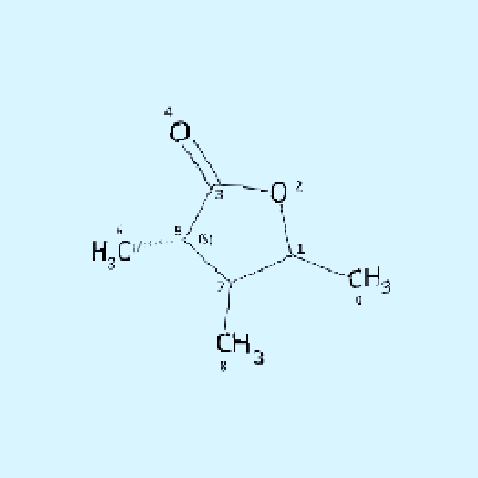 CC1OC(=O)[C@@H](C)C1C